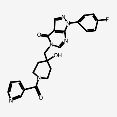 O=C(c1cccnc1)N1CCC(O)(Cn2cnc3c(cnn3-c3ccc(F)cc3)c2=O)CC1